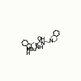 CCCCN[C@H](Cc1c[nH]c2ccccc12)C(=O)NCCN1CCc2ccccc2C1